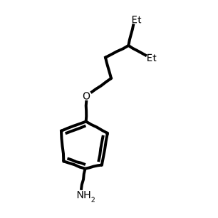 CCC(CC)CCOc1ccc(N)cc1